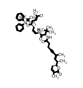 CC1=CC[C@@H]([C@@H](C)/C=C(\C)C#CCCC(=O)N[C@H](C(=O)N/C=C\C[C@H](C/C=C(\C)Cl)O[Si](c2ccccc2)(c2ccccc2)C(C)(C)C)C(C)(C)C)OC1=O